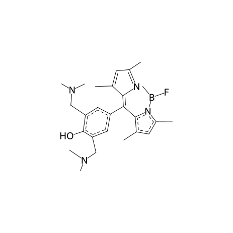 CB(F)n1c(C)cc(C)c1/C(=C1\N=C(C)C=C1C)c1cc(CN(C)C)c(O)c(CN(C)C)c1